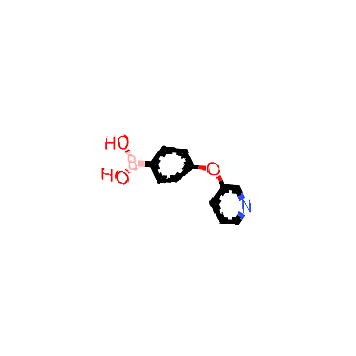 OB(O)c1ccc(Oc2cccnc2)cc1